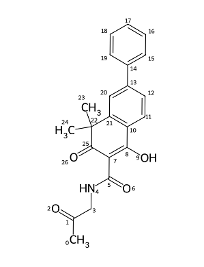 CC(=O)CNC(=O)C1=C(O)c2ccc(-c3ccccc3)cc2C(C)(C)C1=O